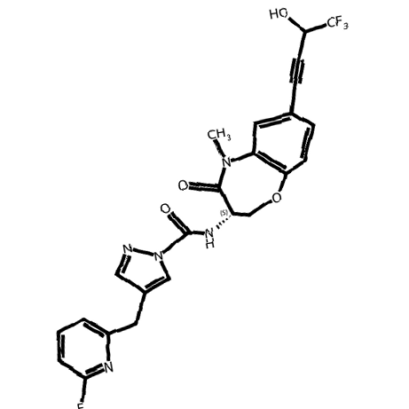 CN1C(=O)[C@@H](NC(=O)n2cc(Cc3cccc(F)n3)cn2)COc2ccc(C#CC(O)C(F)(F)F)cc21